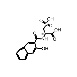 O=C(N[C@@H](CS(=O)(=O)O)C(=O)O)c1cc2ccccc2cc1O